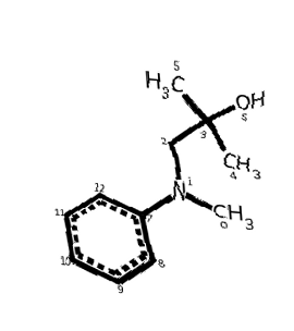 CN(CC(C)(C)O)c1ccccc1